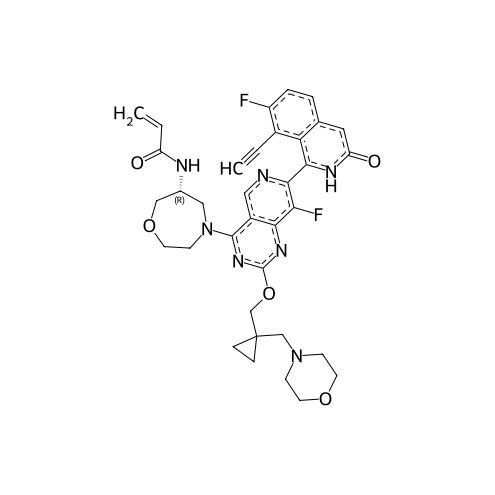 C#Cc1c(F)ccc2cc(=O)[nH]c(-c3ncc4c(N5CCOC[C@H](NC(=O)C=C)C5)nc(OCC5(CN6CCOCC6)CC5)nc4c3F)c12